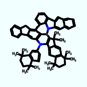 CC1(C)CCC(C)(C)c2cc(N3C4=C(B5c6c3cc3c(c6-c6cccc7c8cc9ccccc9cc8n5c67)Cc5ccccc5-3)C(C)(C)c3cc5c(cc34)C(C)(C)CCC5(C)C)ccc21